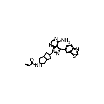 C=CC(=O)NC1CC2CC(n3nc(-c4ccc5ncsc5c4)c4c(N)ncnc43)CC2C1